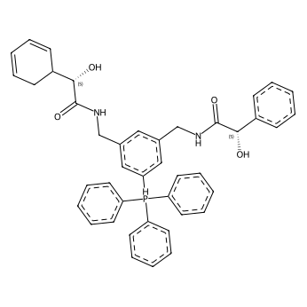 O=C(NCc1cc(CNC(=O)[C@@H](O)C2C=CC=CC2)cc([PH](c2ccccc2)(c2ccccc2)c2ccccc2)c1)[C@@H](O)c1ccccc1